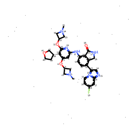 CN1CC(Oc2cc(Nc3ccc(-c4cnc5cc(F)ccn45)c4c3C(=O)NC4)nc(OC3CN(C)C3)c2[C@@H]2CCOC2)C1